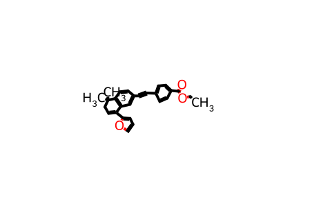 CCOC(=O)c1ccc(C#Cc2ccc3c(c2)C(c2ccco2)=CCC3(C)C)cc1